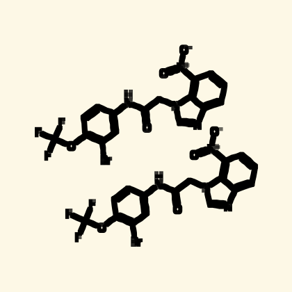 O=C(Cn1cnc2cccc([N+](=O)[O-])c21)Nc1ccc(OC(F)(F)F)c(Br)c1.O=C(Cn1cnc2cccc([N+](=O)[O-])c21)Nc1ccc(OC(F)(F)F)c(Br)c1